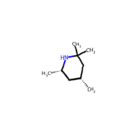 C[C@@H]1C[C@H](C)NC(C)(C)C1